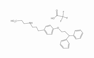 O=C(O)C(F)(F)F.O=C(O)CCNCCCc1ccc(OCCC(c2ccccc2)c2ccccc2)cc1